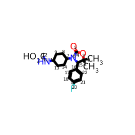 CC1(C)OC(=O)N(C2CCC(NC(=O)O)CC2)C1c1ccc(F)cc1